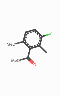 COC(=O)c1c(OC)ccc(Cl)c1C